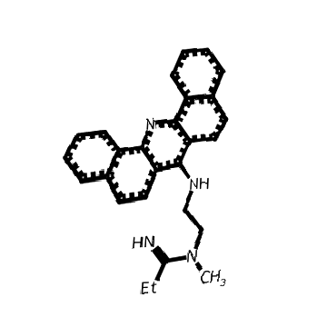 CCC(=N)N(C)CCNc1c2ccc3ccccc3c2nc2c1ccc1ccccc12